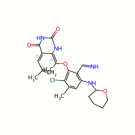 C=C(C)/C=c1/c(=O)[nH]c(=O)[nH]/c1=C(/C)Oc1c(Cl)c(C)cc(NC2CCCCO2)c1C=N